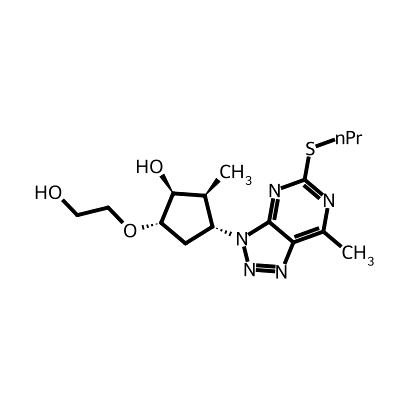 CCCSc1nc(C)c2nnn([C@@H]3C[C@H](OCCO)[C@@H](O)[C@H]3C)c2n1